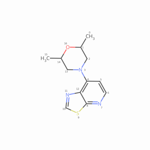 CC1CN(c2ccnc3s[c]nc23)CC(C)O1